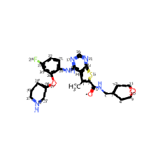 Cc1c(C(=O)NCC2CCOCC2)sc2ncnc(Nc3ccc(F)cc3OC3CCCNC3)c12